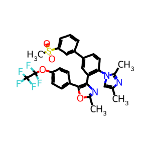 Cc1cn(-c2ccc(-c3cccc(S(C)(=O)=O)c3)cc2-c2nc(C)oc2-c2ccc(OC(F)(F)C(F)(F)F)cc2)c(C)n1